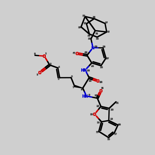 COC(=O)/C=C/CC[C@H](NC(=O)c1oc2ccccc2c1C)C(=O)Nc1cccn(CC2C3CC4CC(C3)C2C4)c1=O